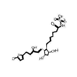 O=C(CCCC=CC[C@@H]1[C@@H](C=CC(O)CCc2ccc(Cl)s2)[C@H](O)C[C@@H]1O)NS(=O)(=O)C(F)(F)F